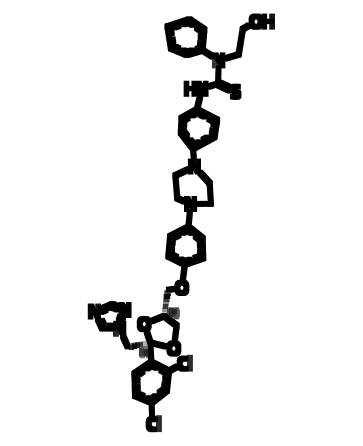 OCCN(C(=S)Nc1ccc(N2CCN(c3ccc(OC[C@@H]4CO[C@@](Cn5cncn5)(c5ccc(Cl)cc5Cl)O4)cc3)CC2)cc1)c1ccccc1